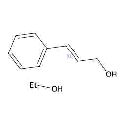 CCO.OC/C=C/c1ccccc1